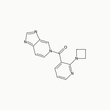 O=C(c1cccnc1N1CCC1)n1ccc2ncnc-2c1